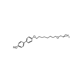 C=CCOCCCCCCCCOc1ccc(-c2ccc(O)cc2)cc1